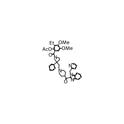 CCc1c(OC)c(OC)cc(C(=O)N2CCC(CCN3CCC(C(=O)c4nc5ccccc5n4Cc4ccccn4)CC3)(c3ccccc3)C2)c1OC(C)=O